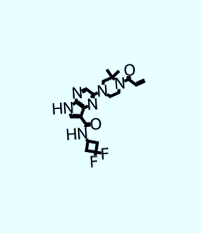 C=CC(=O)N1CCN(c2cnc3[nH]cc(C(=O)NC4CC(F)(F)C4)c3n2)CC1(C)C